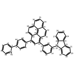 c1ccc(-c2ccc(-c3cc(-c4cccc(-n5c6ccccc6c6ccccc65)c4)c4ccc5cccc6ccc3c4c65)cc2)nc1